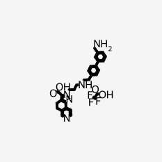 NCc1cccc(-c2ccc(CCNCCCn3nc4c(c3C(=O)O)CCc3cnccc3-4)cc2)c1.O=C(O)C(F)(F)F